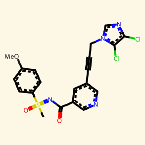 COc1ccc(S(C)(=O)=NC(=O)c2cncc(C#CCn3cnc(Cl)c3Cl)c2)cc1